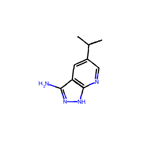 CC(C)c1cnc2[nH]nc(N)c2c1